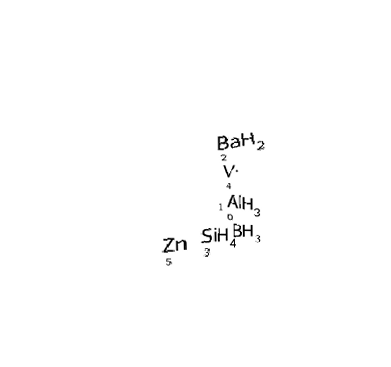 B.[AlH3].[BaH2].[SiH4].[V].[Zn]